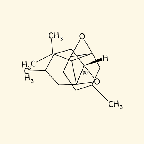 CC1CCC2OC2(C(C(C)C)C23CC(C)CC[C@@H]2O3)C1